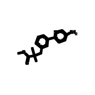 COC(=O)C(C)(C)Cc1cccc(-c2ccc(N)cn2)c1